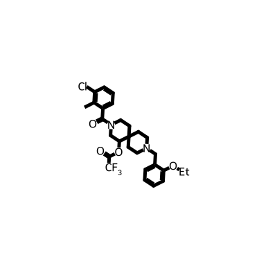 CCOc1ccccc1CN1CCC2(CC1)CCN(C(=O)c1cccc(Cl)c1C)CC2OC(=O)C(F)(F)F